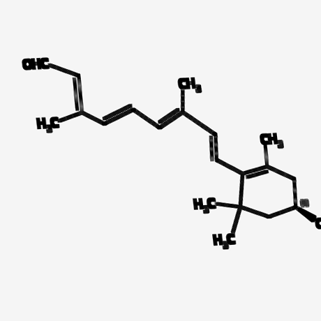 CC(C=CC=C(C)C=CC1=C(C)C[C@@H](O)CC1(C)C)=CC=O